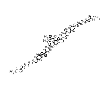 C=CC(=O)OCCCCCCOc1ccc(OC(=O)C2CCC(C(=O)Oc3ccc(OC(=O)C4CCC(C(=O)Oc5ccc(OCCCCCCOC(=O)C=C)cc5)CC4)c(C(=O)N(C)C)c3)CC2)cc1